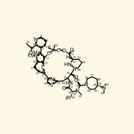 CCn1c(-c2cccnc2[C@H](C)OC)c2c3cc(ccc31)-c1csc(n1)C[C@H](NC(=O)[C@H](C(C)C)N(C)C(=O)N1CCC[C@@H](N(C)C)CC1)C(=O)N1CCC[C@H](N1)C(=O)OCC(C)(C)C2